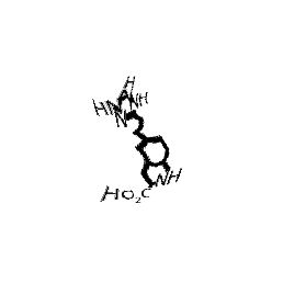 O=C(O)C1CC2CC(CCC3=NNNN3)CCC2CN1